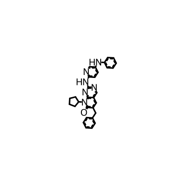 O=c1c(Cc2ccccc2)cc2cnc(Nc3ccc(Nc4ccccc4)cn3)nc2n1C1CCCC1